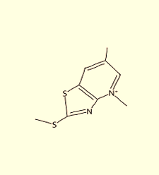 CSc1nc2c(cc(C)c[n+]2C)s1